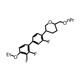 CCCOCC1CCC(c2ccc(-c3ccc(OCC)c(F)c3F)cc2F)CO1